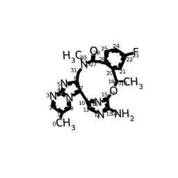 Cc1cnc2nc3c(n2c1)-c1cnc(N)c(n1)O[C@H](C)c1cc(F)ccc1C(=O)N(C)C3